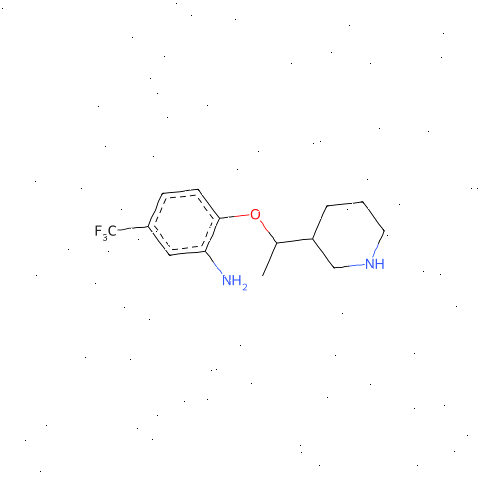 CC(Oc1ccc(C(F)(F)F)cc1N)C1CCCNC1